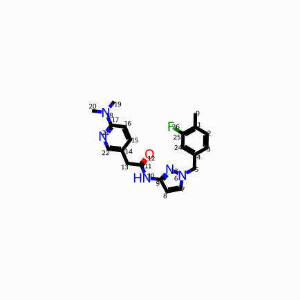 Cc1ccc(Cn2ccc(NC(=O)Cc3ccc(N(C)C)nc3)n2)cc1F